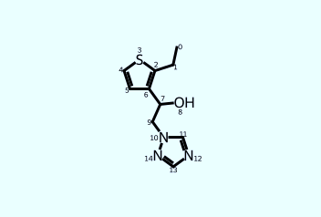 CCc1sccc1C(O)Cn1cncn1